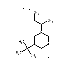 CCC(C)N1CCCC(C(C)(C)C)C1